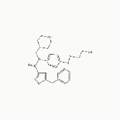 O=C(c1cc(Cc2ccccc2)on1)N(CC1CCNCC1)c1ccc(SSCCS)cc1